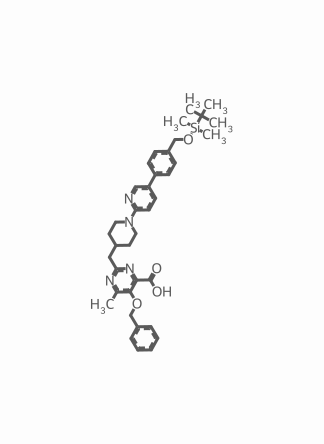 Cc1nc(CC2CCN(c3ccc(-c4ccc(CO[Si](C)(C)C(C)(C)C)cc4)cn3)CC2)nc(C(=O)O)c1OCc1ccccc1